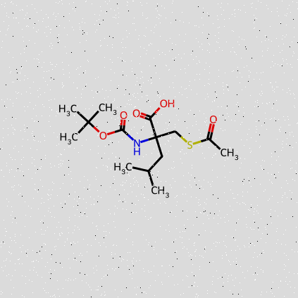 CC(=O)SCC(CC(C)C)(NC(=O)OC(C)(C)C)C(=O)O